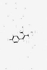 COC(=O)C(C(=O)OC)=C(C)c1ccc(F)c(F)c1